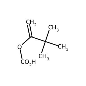 C=C(OC(=O)O)C(C)(C)C